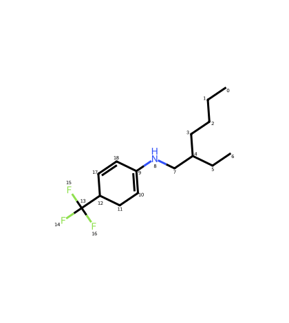 CCCCC(CC)CNC1=CCC(C(F)(F)F)C=C1